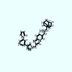 c1ccn(-c2cncc(-c3cn(Cc4cn5cc(CNCC67CC8CC(CC(C8)C6)C7)ccc5n4)nn3)c2)c1